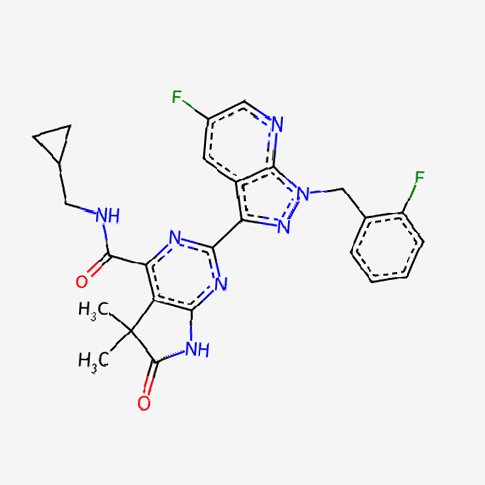 CC1(C)C(=O)Nc2nc(-c3nn(Cc4ccccc4F)c4ncc(F)cc34)nc(C(=O)NCC3CC3)c21